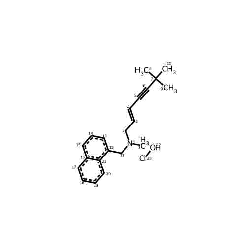 CN(CC=CC#CC(C)(C)C)Cc1cccc2ccccc12.OCl